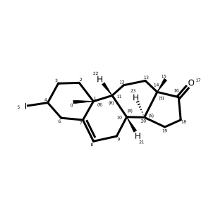 C[C@]12CCC(I)CC1=CC[C@@H]1[C@H]2CC[C@]2(C)C(=O)CC[C@@H]12